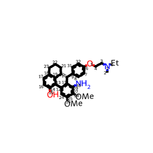 CCN(C)CCOc1ccc(Cc2c(-c3c(O)ccc4c3CCCC4)cc(OC)c(OC)c2N)cc1